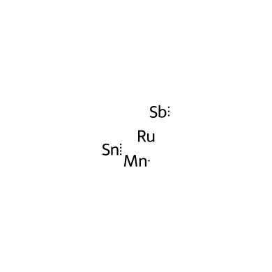 [Mn].[Ru].[Sb].[Sn]